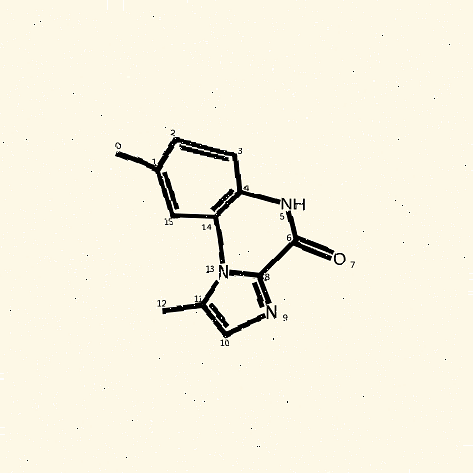 Cc1ccc2[nH]c(=O)c3ncc(C)n3c2c1